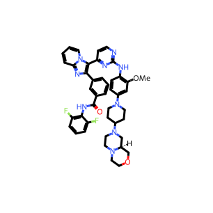 COc1cc(N2CCC(N3CCN4CCOC[C@@H]4C3)CC2)ccc1Nc1nccc(-c2c(-c3cccc(C(=O)Nc4c(F)cccc4F)c3)nc3ccccn23)n1